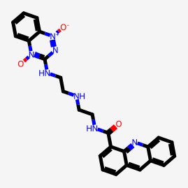 O=C(NCCNCCNc1n[n+]([O-])c2ccccc2[n+]1[O-])c1cccc2cc3ccccc3nc12